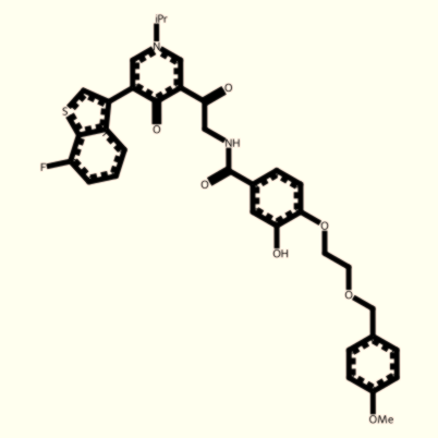 COc1ccc(COCCOc2ccc(C(=O)NCC(=O)c3cn(C(C)C)cc(-c4csc5c(F)cccc45)c3=O)cc2O)cc1